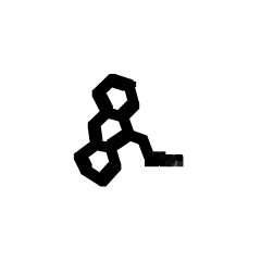 CCCCCCCCCCc1c2c[c]ccc2cc2ccccc12